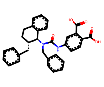 O=C(O)c1ccc(NC(=O)N(Cc2ccccc2)[C@@H]2c3ccccc3CC[C@H]2Cc2ccccc2)cc1C(=O)O